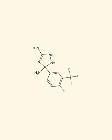 NC1=NC(N)(c2ccc(Cl)c(C(F)(F)F)c2)NN1